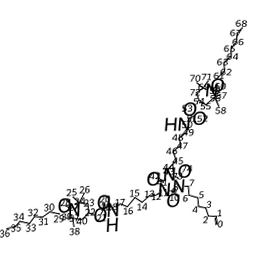 C=CCCCCCCn1c(=O)n(CCCCCCNC(=O)OC2CC(C)(C)N(OCCCCCCCC)C(C)(C)C2)c(=O)n(CCCCCCNC(=O)OC2CC(C)(C)N(OCCCCCCCC)C(C)(C)C2)c1=O